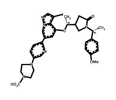 COc1ccc([C@@H](C)N2CC([C@@H](C)Oc3cc(-c4ccc(N5CCN(C(=O)O)CC5)cn4)cn4ncc(I)c34)CC2=O)cc1